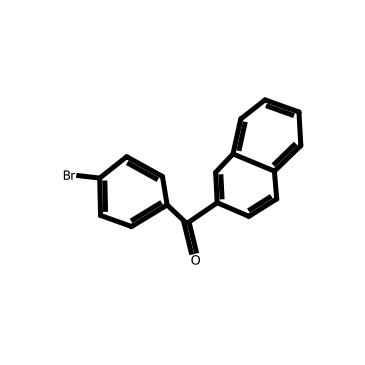 O=C(c1ccc(Br)cc1)c1ccc2ccccc2c1